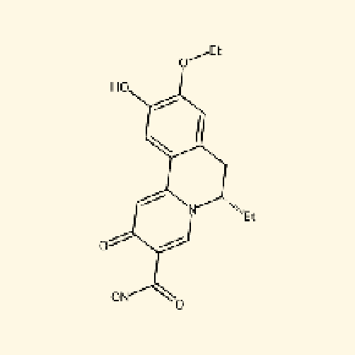 CCOc1cc2c(cc1O)-c1cc(=O)c(C(=O)N=O)cn1[C@@H](CC)C2